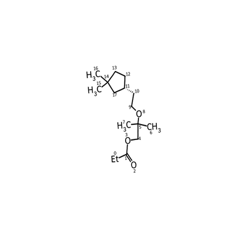 CCC(=O)OCC(C)(C)OCC[C@H]1CCC(C)(C)C1